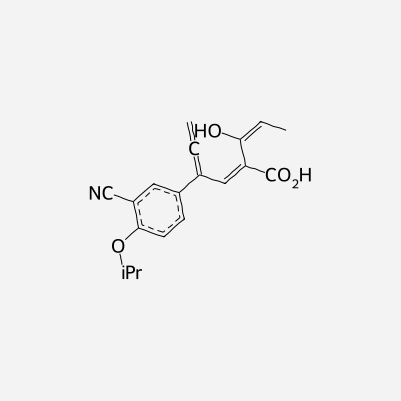 C=C=C(/C=C(C(=O)O)\C(O)=C/C)c1ccc(OC(C)C)c(C#N)c1